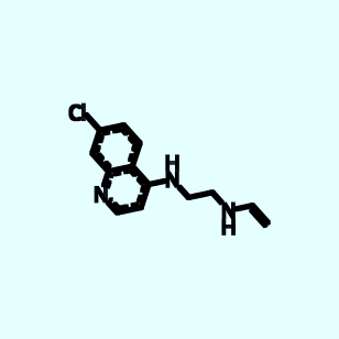 C=CNCCNc1ccnc2cc(Cl)ccc12